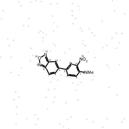 CNc1ccc(-c2ccc3nonc3c2)cc1[N+](=O)[O-]